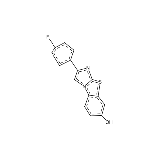 Oc1ccc2c(c1)sc1nc(-c3ccc(F)cc3)cn12